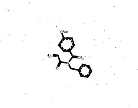 C=CC(=O)N(Cc1ccccc1)C(=C)c1ccc(OC)cc1